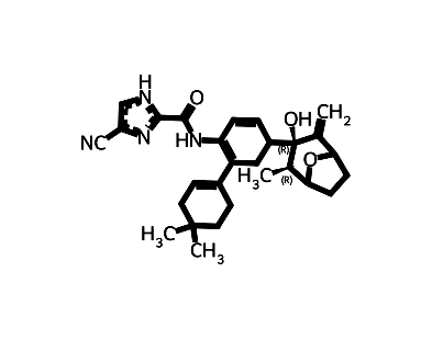 C=C1C2CCC(O2)[C@@H](C)[C@]1(O)C1C=CC(NC(=O)c2nc(C#N)c[nH]2)=C(C2=CCC(C)(C)CC2)C1